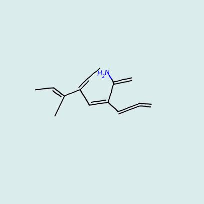 C=C=C/C(=C/C(=C\C)C(/C)=C/C)C(=C)N